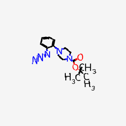 CC(C)(C)OC(=O)N1CCN(c2ccccc2N=[N+]=[N-])CC1